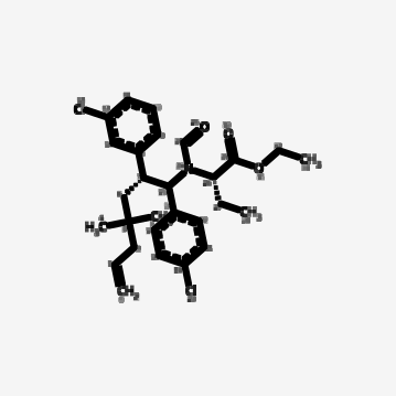 C=CCC(C)(C)C[C@H](c1cccc(Cl)c1)C(c1ccc(Cl)cc1)N(C=O)[C@@H](CC)C(=O)OCC